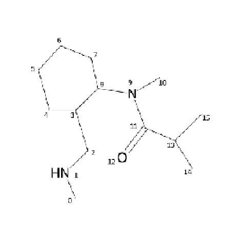 CNCC1CCCCC1N(C)C(=O)C(C)C